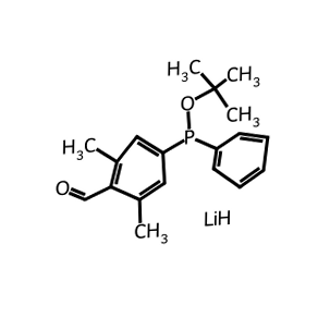 Cc1cc(P(OC(C)(C)C)c2ccccc2)cc(C)c1C=O.[LiH]